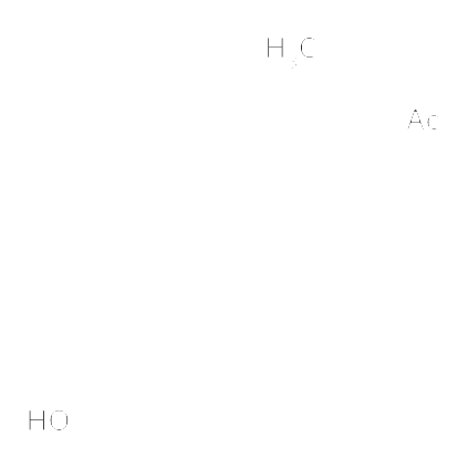 CC(=O)C(C)c1ccc2cc(O)ccc2c1